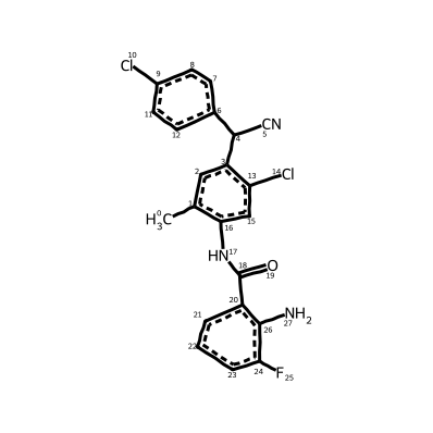 Cc1cc(C(C#N)c2ccc(Cl)cc2)c(Cl)cc1NC(=O)c1cccc(F)c1N